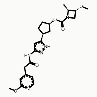 COc1cc(CC(=O)Nc2cc([C@H]3CC[C@@H](OC(=O)N4C[C@@H](OC)[C@@H]4C)C3)[nH]n2)ccn1